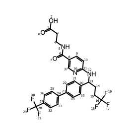 O=C(O)CCNC(=O)c1ccc(NC(CCC(F)(F)F)c2ccc(-c3ccc(C(F)(F)F)cc3)cc2)nc1